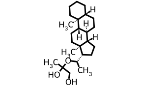 CC(OC(C)(O)CO)[C@H]1CC[C@H]2[C@@H]3CC[C@H]4CCCC[C@]4(C)[C@H]3CC[C@]12C